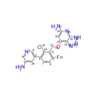 Nc1cncc(-c2ccc(F)c(COc3cc(N)nc4[nH]nnc34)c2Cl)c1